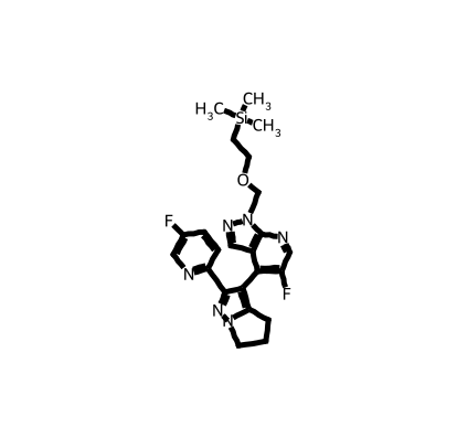 C[Si](C)(C)CCOCn1ncc2c(-c3c(-c4ccc(F)cn4)nn4c3CCC4)c(F)cnc21